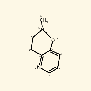 CN1CCc2ncccc2O1